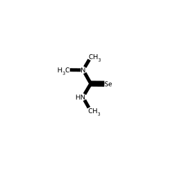 CNC(=[Se])N(C)C